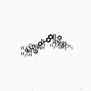 COC(=O)N[C@H](C(=O)N1CCC[C@H]1c1nc2ccc3cc(-c4nc5c(s4)-c4[nH]c([C@@H]6CCCN6C(=O)[C@@H](NC(C)=O)C(C)C)nc4C5)ccc3c2[nH]1)C(C)C